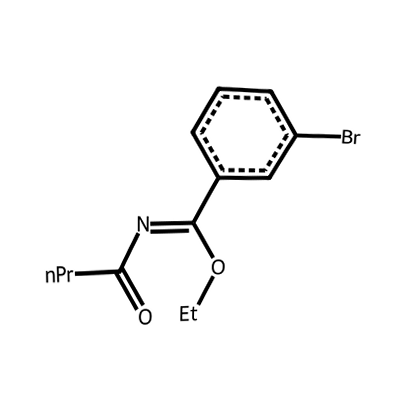 CCCC(=O)N=C(OCC)c1cccc(Br)c1